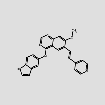 COc1cc2ncnc(Nc3ccc4[nH]ccc4c3)c2cc1C=Cc1ccncc1